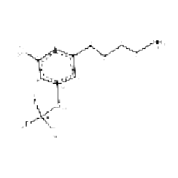 Cc1cc(CCCCN)cc(SC(F)(F)F)c1